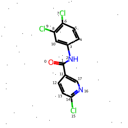 O=C(Nc1ccc(Cl)c(Cl)c1)c1ccc(Cl)nc1